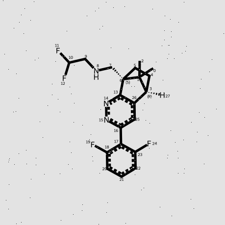 CC1(C)[C@H]2CC[C@]1(CNCC(F)F)c1nnc(-c3c(F)cccc3F)cc12